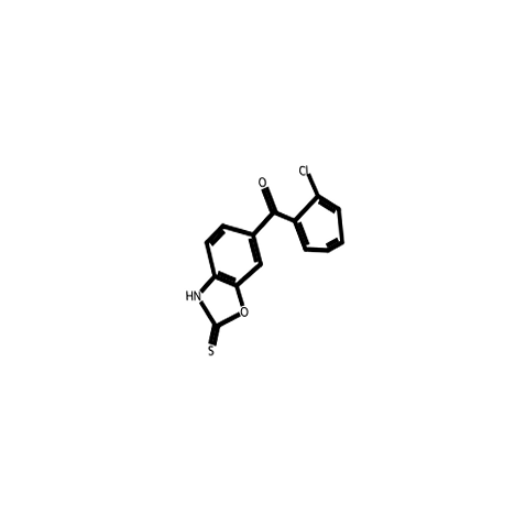 O=C(c1ccc2[nH]c(=S)oc2c1)c1ccccc1Cl